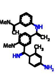 C=C(NC)c1cccc(NC(=C)c2ccc(NC)c(C(=N)C3CC=C(N)C=C3C)c2)c1